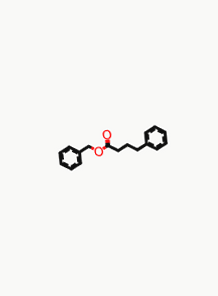 O=C(CCCc1ccccc1)OCc1ccccc1